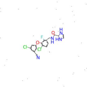 N#Cc1cc(Cl)cc(Oc2c(Cl)ccc(CNC(=O)C3NC=CN3)c2F)c1